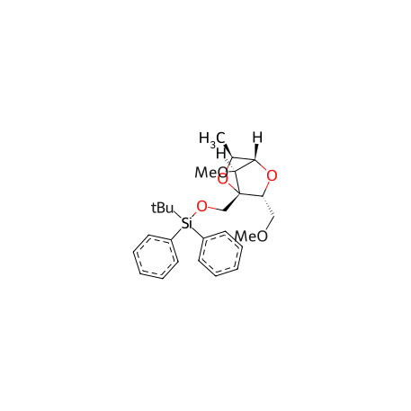 COC[C@H]1O[C@H]2[C@H](C)O[C@]1(CO[Si](c1ccccc1)(c1ccccc1)C(C)(C)C)[C@H]2OC